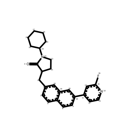 O=C1C(Cc2ccc3ccc(-c4ccnc(F)c4)cc3c2)CCN1C1CCCCC1